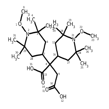 CON1C(C)(C)CC(C(CC(=O)O)(C(=O)O)C2CC(C)(C)N(OC)C(C)(C)C2)CC1(C)C